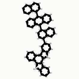 c1ccc2c(-c3c4ccccc4c(-c4ccc(-c5ccc6sc7c(c6c5)c5ccccc5c5sc6ccccc6c57)c5ccccc45)c4ccccc34)cccc2c1